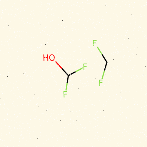 FCF.OC(F)F